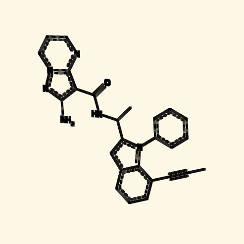 CC#Cc1cccc2cc(C(C)NC(=O)c3c(N)nn4cccnc34)n(-c3ccccc3)c12